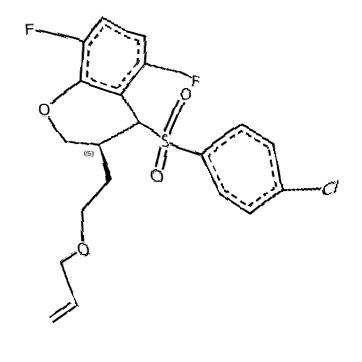 C=CCOCC[C@H]1COc2c(F)ccc(F)c2C1S(=O)(=O)c1ccc(Cl)cc1